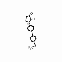 O=C1CC[C@H](c2ccc(-c3ccc(SC(F)(F)F)cc3)cc2)N1